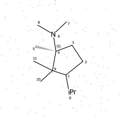 CC(C)C1CC[C@](C)(N(C)C)C1(C)C